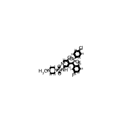 CN1CCN(S(=O)(=O)Nc2cc(C(c3cc(F)ccc3F)S(=O)(=O)c3ccc(Cl)cc3)c(Cl)cn2)CC1